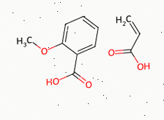 C=CC(=O)O.COc1ccccc1C(=O)O